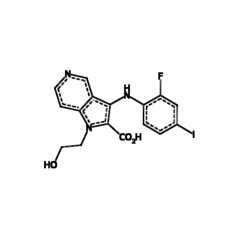 O=C(O)c1c(Nc2ccc(I)cc2F)c2cnccc2n1CCO